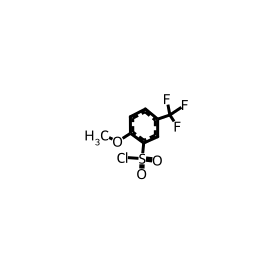 COc1ccc(C(F)(F)F)cc1S(=O)(=O)Cl